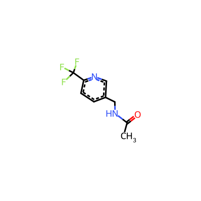 CC(=O)NCc1ccc(C(F)(F)F)nc1